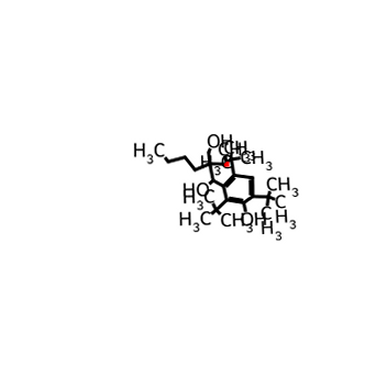 CCCCC(CC)(CO)C(O)c1c(C(C)(C)C)cc(C(C)(C)C)c(O)c1C(C)(C)C